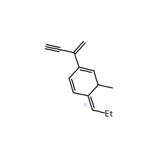 C#CC(=C)C1=CC(C)/C(=C\CC)C=C1